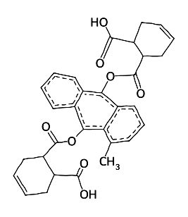 Cc1cccc2c(OC(=O)C3CC=CCC3C(=O)O)c3ccccc3c(OC(=O)C3CC=CCC3C(=O)O)c12